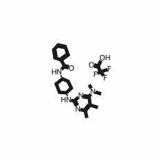 Cc1nc(N[C@H]2CC[C@@H](NC(=O)c3ccccc3)CC2)nc(N(C)C)c1C.O=C(O)C(F)(F)F